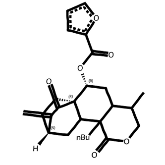 C=C1C(=O)[C@]23CC[C@H]1CC2C1(CCCC)C(=O)OCC(C)C1C[C@H]3OC(=O)c1ccco1